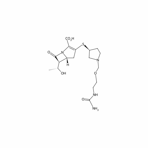 C[C@@H](O)[C@H]1C(=O)N2C(C(=O)O)=C(S[C@H]3CCN(COCCNC(N)=O)C3)C[C@H]12